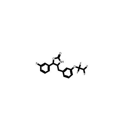 O=C1NC(Cc2cccc(OC(F)(F)C(F)F)c2)C(c2cccc(F)c2)O1